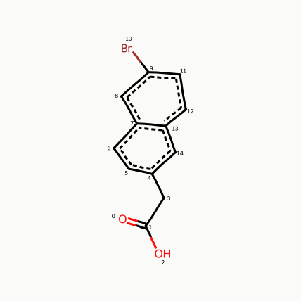 O=C(O)Cc1ccc2cc(Br)ccc2c1